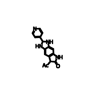 CC(=O)C1C(=O)Nc2cc3c(cc21)NC(c1ccncc1)N3